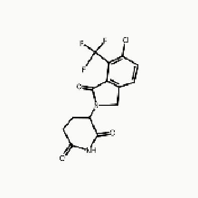 O=C1CCC(N2Cc3ccc(Cl)c(C(F)(F)F)c3C2=O)C(=O)N1